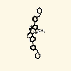 Cc1cc(-c2cccc(CN3CCCCC3)c2)cc(Cl)c1Nc1c(C#N)cnc2cc(-c3cccc(CN4CCCCC4)c3)ccc12